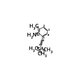 Cc1cccc(C#C[Si](C)(C)C)c1N